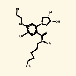 CCCCCCN(C)C(=O)c1cc(N)c(NCCO)cc1N1C[C@H](O)[C@@H](O)C1